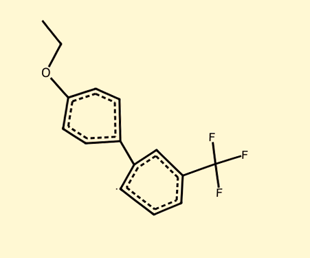 CCOc1ccc(-c2[c]ccc(C(F)(F)F)c2)cc1